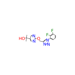 CC(C)(O)c1cnc(OCc2cn(-c3cccc(F)c3F)nn2)nc1